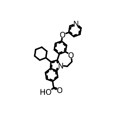 O=C(O)c1ccc2c(C3CCCCC3)c3n(c2c1)CCOc1cc(Oc2cccnc2)ccc1-3